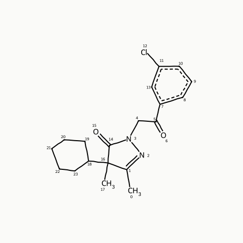 CC1=NN(CC(=O)c2cccc(Cl)c2)C(=O)C1(C)C1CCCCC1